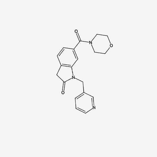 O=C(c1ccc2c(c1)N(Cc1cccnc1)C(=O)C2)N1CCOCC1